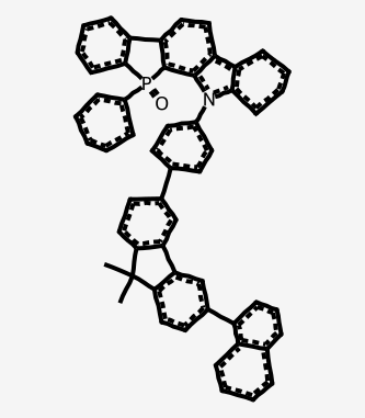 CC1(C)c2ccc(-c3ccc(-n4c5ccccc5c5ccc6c(c54)P(=O)(c4ccccc4)c4ccccc4-6)cc3)cc2-c2cc(-c3cccc4ccccc34)ccc21